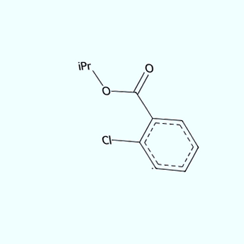 CC(C)OC(=O)c1ccc[c]c1Cl